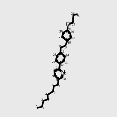 CCCCCCCCc1ccc(-c2ccc(CCc3ccc(OCCC)cc3)cc2)nc1